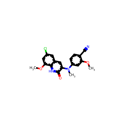 COc1cc(N(C)c2cc3cc(Cl)cc(OC)c3[nH]c2=O)ccc1C#N